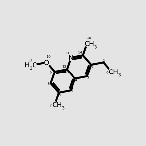 CCc1cc2cc(C)cc(OC)c2nc1C